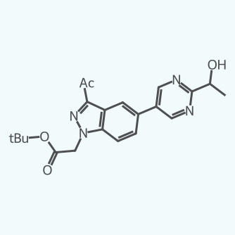 CC(=O)c1nn(CC(=O)OC(C)(C)C)c2ccc(-c3cnc(C(C)O)nc3)cc12